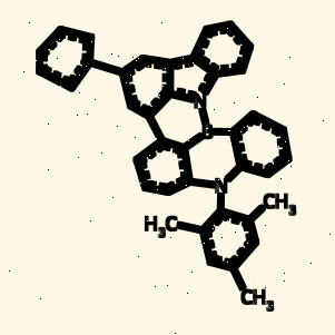 Cc1cc(C)c(N2c3ccccc3B3c4c(cccc42)-c2cc(-c4ccccc4)cc4c5ccccc5n3c24)c(C)c1